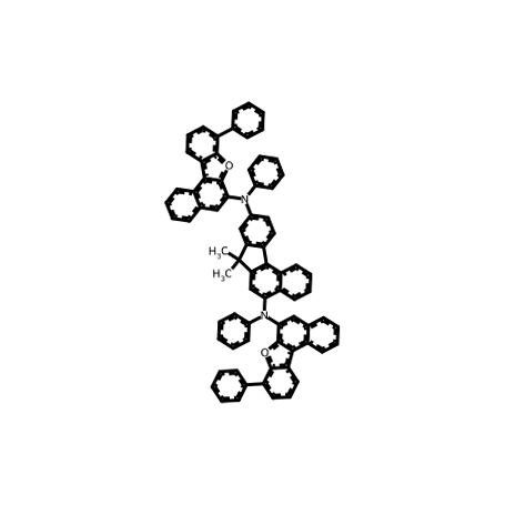 CC1(C)c2cc(N(c3ccccc3)c3cc4ccccc4c4c3oc3c(-c5ccccc5)cccc34)ccc2-c2c1cc(N(c1ccccc1)c1cc3ccccc3c3c1oc1c(-c4ccccc4)cccc13)c1ccccc21